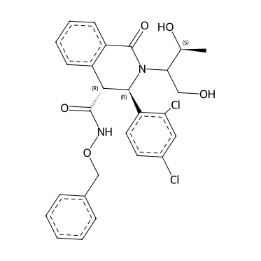 C[C@H](O)C(CO)N1C(=O)c2ccccc2[C@@H](C(=O)NOCc2ccccc2)[C@@H]1c1ccc(Cl)cc1Cl